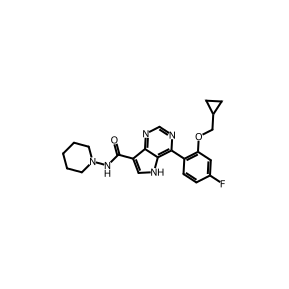 O=C(NN1CCCCC1)c1c[nH]c2c(-c3ccc(F)cc3OCC3CC3)ncnc12